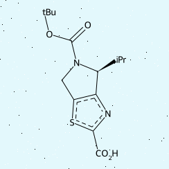 CC(C)[C@H]1c2nc(C(=O)O)sc2CN1C(=O)OC(C)(C)C